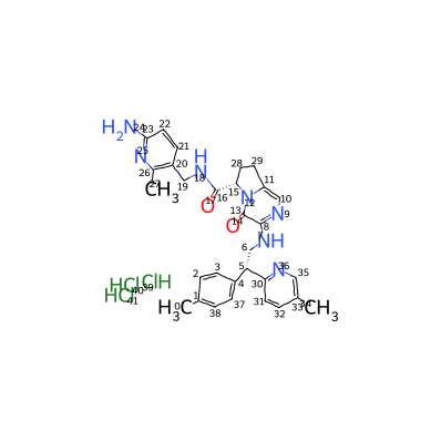 Cc1ccc([C@H](CNc2ncc3n(c2=O)[C@H](C(=O)NCc2ccc(N)nc2C)CC3)c2ccc(C)cn2)cc1.Cl.Cl.Cl